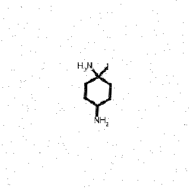 NC1CCC(N)(I)CC1